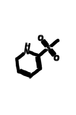 CS(=O)(=O)C1=C[C]=CCN1